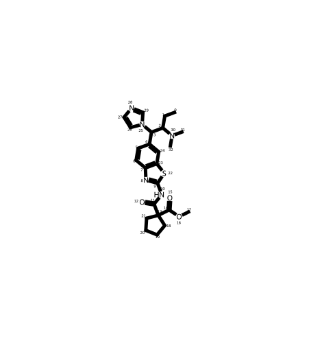 CCC(C(c1ccc2nc(NC(=O)C3(C(=O)OC)CCCC3)sc2c1)n1ccnc1)N(C)C